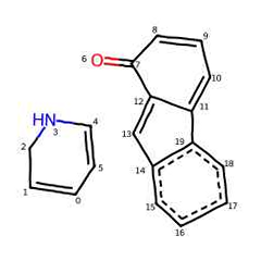 C1=CCNC=C1.O=C1C=CC=C2C1=Cc1ccccc12